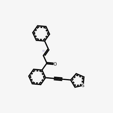 O=C(/C=C/c1ccccc1)c1ccccc1C#Cc1ccsc1